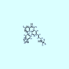 Cc1nc(NC(C)c2cccc(C=CCNC(C)(C)C)c2)cc(-c2ccc3ncsc3c2)n1